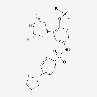 C[C@@H]1CN(c2cc(NS(=O)(=O)c3ccc(C4CC=CS4)cc3)ccc2OC(F)(F)F)C[C@H](C)N1